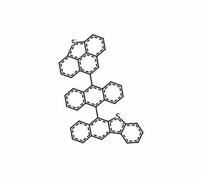 c1ccc2c(-c3c4ccccc4c(-c4cc5cccc6sc7cccc4c7c56)c4ccccc34)c3sc4ccccc4c3cc2c1